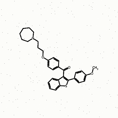 COc1ccc(-c2sc3ccccc3c2C(=O)c2ccc(OCCCN3CCCCCC3)cc2)cc1